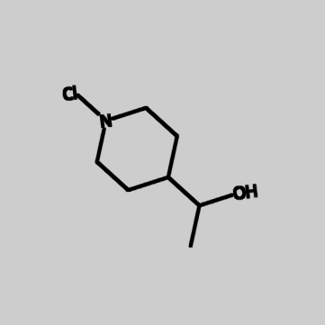 CC(O)C1CCN(Cl)CC1